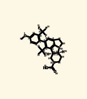 COc1ccc(-c2cc3c4c(c2C(C)(C)C)[C@@H]2CN(C(=O)O)CC[C@@H]2N4CC3)c(C(F)(F)F)c1